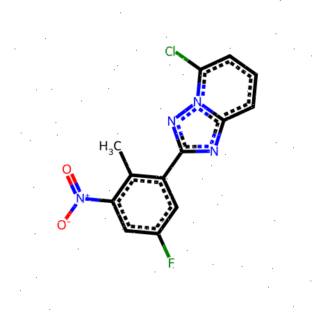 Cc1c(-c2nc3cccc(Cl)n3n2)cc(F)cc1[N+](=O)[O-]